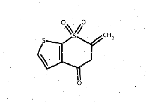 C=C1CC(=O)c2ccsc2S1(=O)=O